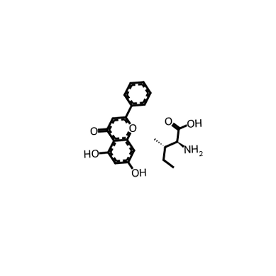 CC[C@H](C)[C@H](N)C(=O)O.O=c1cc(-c2ccccc2)oc2cc(O)cc(O)c12